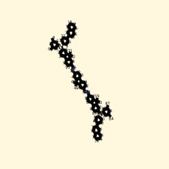 Cc1cc(C)cc(N(c2ccc(-c3ccc4ccccc4c3)cc2)c2ccc3c(c2)C(C)(C)c2cc(/C=C/c4ccc5c(c4)C(C)(C)c4cc(/C=C/c6ccc7c(c6)C(C)(C)c6cc(N(c8ccc(-c9ccc%10ccccc%10c9)cc8)c8cc(C)cc(C)c8)ccc6-7)ccc4-5)ccc2-3)c1